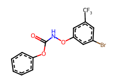 O=C(NOc1cc(Br)cc(C(F)(F)F)c1)Oc1ccccc1